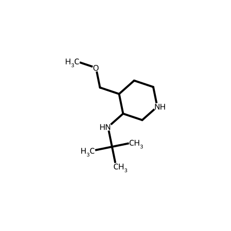 COCC1CCNCC1NC(C)(C)C